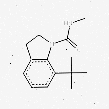 CNC(=O)N1CCc2cccc(C(C)(C)C)c21